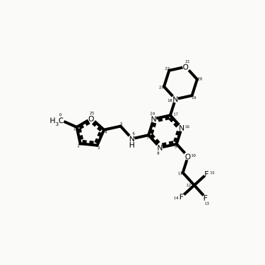 Cc1ccc(CNc2nc(OCC(F)(F)F)nc(N3CCOCC3)n2)o1